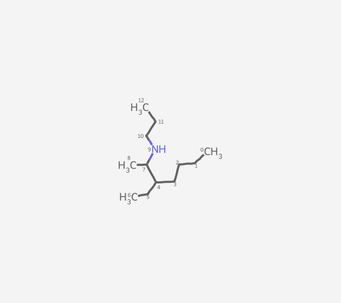 CCCCC(CC)C(C)NCCC